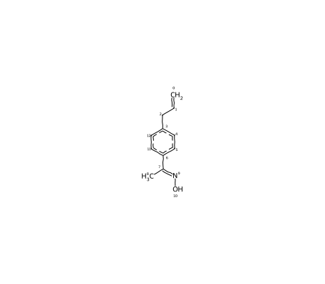 C=CCc1ccc(C(C)=NO)cc1